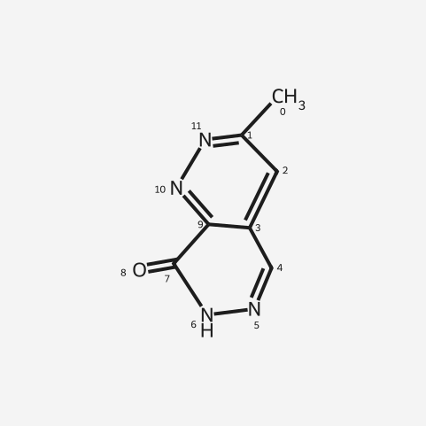 Cc1cc2cn[nH]c(=O)c2nn1